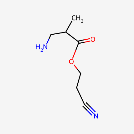 CC(CN)C(=O)OCCC#N